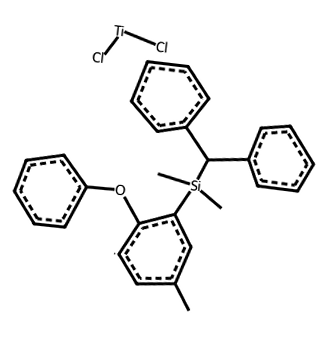 Cc1c[c]c(Oc2ccccc2)c([Si](C)(C)C(c2ccccc2)c2ccccc2)c1.[Cl][Ti][Cl]